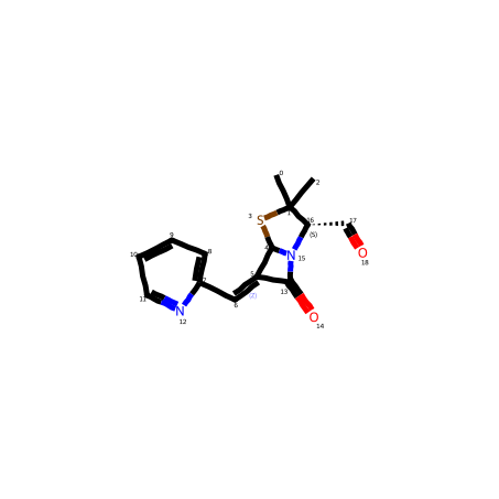 CC1(C)SC2/C(=C\c3ccccn3)C(=O)N2[C@H]1C=O